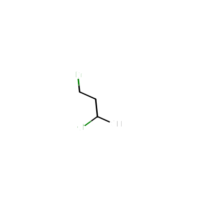 CC(Cl)C[CH]Br